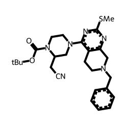 CSc1nc2c(c(N3CCN(C(=O)OC(C)(C)C)C(CC#N)C3)n1)CCN(Cc1ccccc1)C2